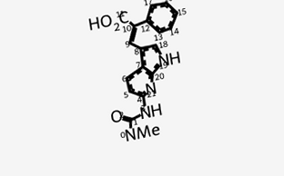 CNC(=O)Nc1ccc2c(/C=C(/C(=O)O)c3ccccc3)c[nH]c2n1